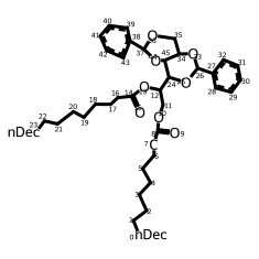 CCCCCCCCCCCCCCCCCC(=O)OCC(OC(=O)CCCCCCCCCCCCCCCCC)C1OC(c2ccccc2)OC2COC(c3ccccc3)OC21